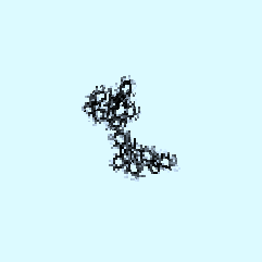 c1ccc(-n2c(-n3c4ccccc4c4c5oc6ccccc6c5ccc43)nc3cc(-c4ccc5c(c4)c4ccc6oc7ccccc7c6c4n5-c4nc5ccccc5n4-c4ccccc4)ccc32)cc1